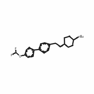 CCCCC1CCC(CCc2ccc(-c3ccc(OC(F)F)cc3)cc2)CC1